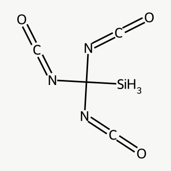 O=C=NC([SiH3])(N=C=O)N=C=O